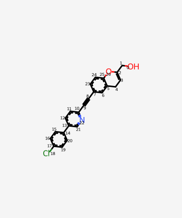 OCC1=CCc2cc(C#Cc3ccc(-c4ccc(Cl)cc4)cn3)ccc2O1